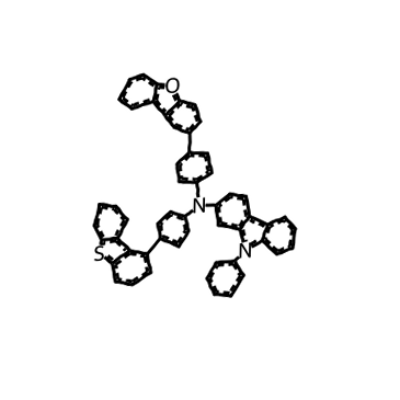 c1ccc(-n2c3ccccc3c3ccc(N(c4ccc(-c5ccc6oc7ccccc7c6c5)cc4)c4ccc(-c5cccc6sc7ccccc7c56)cc4)cc32)cc1